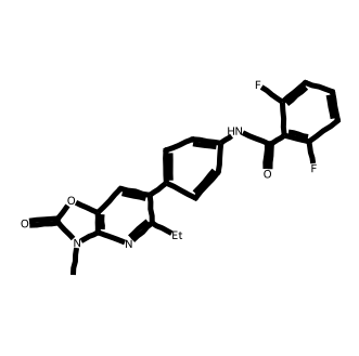 CCc1nc2c(cc1-c1ccc(NC(=O)c3c(F)cccc3F)cc1)oc(=O)n2C